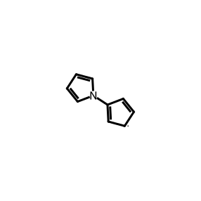 [CH]1C=CC(n2cccc2)=C1